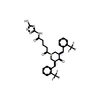 O=C(CCCC(=O)N1C/C(=C\c2ccccc2C(F)(F)F)C(=O)/C(=C/c2ccccc2C(F)(F)F)C1)Nc1nnc(S)s1